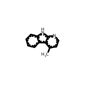 Cc1ccnc2[nH]c3ccccc3c12